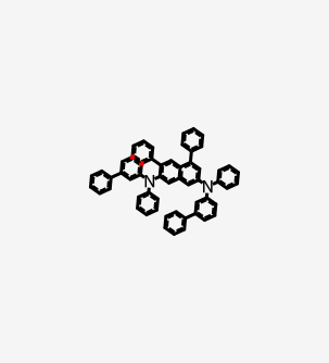 c1ccc(-c2cccc(N(c3ccccc3)c3cc(-c4ccccc4)c4cc(-c5ccccc5)c(N(c5ccccc5)c5cccc(-c6ccccc6)c5)cc4c3)c2)cc1